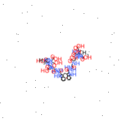 CC(NCC(=O)O)(NCC(=O)O)C(NCCC(NCC(=O)NNC(=O)c1[nH]c2ccccc2c1Cc1c(C(=O)NNC(=O)CN(CCN(CC(=O)O)C(C)(NCC(=O)O)NCC(=O)O)CC(=O)O)[nH]c2ccccc12)C(=O)O)C(=O)O